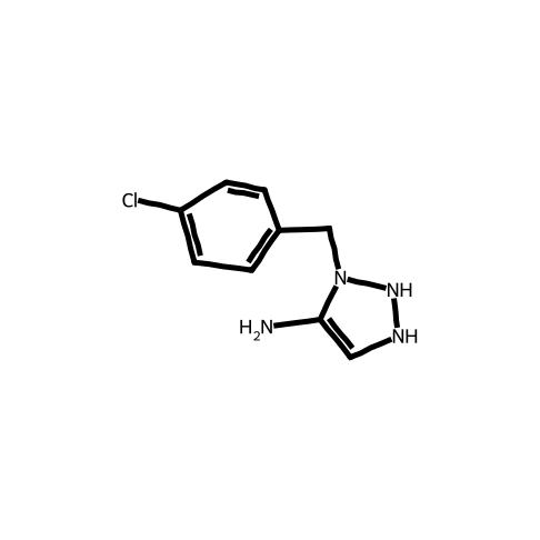 NC1=CNNN1Cc1ccc(Cl)cc1